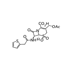 CC(=O)OCC1=C(C(=O)O)N2C(=O)[C@H](NC(=O)Cc3cccs3)[C@@H]2S(=O)(=O)C1